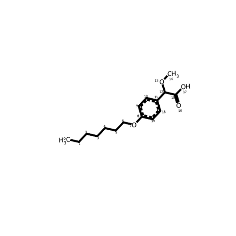 CCCCCCCOc1ccc(C(OC)C(=O)O)cc1